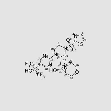 O=S(=O)(c1nccs1)N1CCN(c2ncc(C(O)(C(F)(F)F)C(F)(F)F)cn2)C(CN2C3COCC2C(O)C3)C1